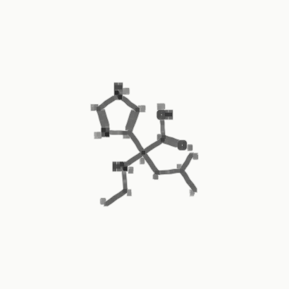 CCNC(CC(C)C)(C(=O)O)c1c[nH]cn1